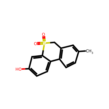 Cc1ccc2c(c1)CS(=O)(=O)c1cc(O)ccc1-2